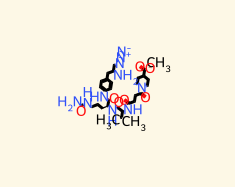 COC(=O)C1CCN(C(=O)CCC(=O)N[C@H](C(=O)N[C@@H](CCCNC(N)=O)C(=O)Nc2ccc(C[C@H](N)CN=[N+]=[N-])cc2)C(C)C)CC1